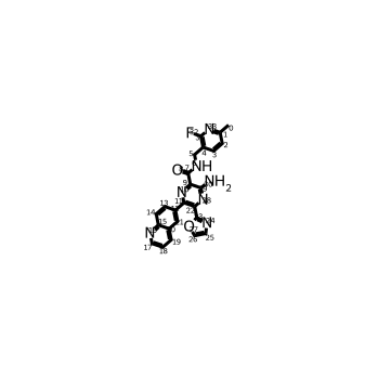 Cc1ccc(CNC(=O)c2nc(-c3ccc4ncccc4c3)c(-c3ncco3)nc2N)c(F)n1